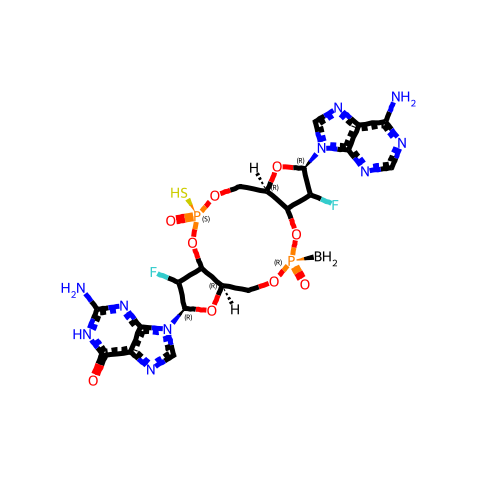 B[P@@]1(=O)OC[C@H]2O[C@@H](n3cnc4c(=O)[nH]c(N)nc43)C(F)C2O[P@@](=O)(S)OC[C@H]2O[C@@H](n3cnc4c(N)ncnc43)C(F)C2O1